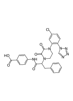 O=C(O)c1ccc(NC(=O)C(Cc2ccccc2)N2CCN(c3cc(Cl)ccc3-n3cnnn3)C(=O)C2=O)cc1